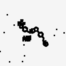 Cl.Cl.FC(F)(F)Oc1ccc(CN2CC3CCC(c4ccc(CCN5CCCC5)cc4)C3C2)cc1